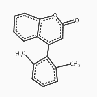 Cc1cccc(C)c1-c1cc(=O)oc2ccccc12